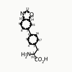 N[C@@H](Cc1ccc(-c2ccc3ncoc3c2)cc1)C(=O)O